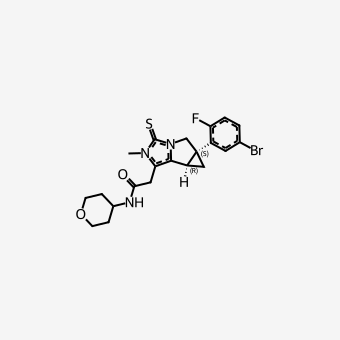 Cn1c(CC(=O)NC2CCOCC2)c2n(c1=S)C[C@@]1(c3cc(Br)ccc3F)C[C@@H]21